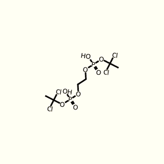 CC(Cl)(Cl)OP(=O)(O)OCCOP(=O)(O)OC(C)(Cl)Cl